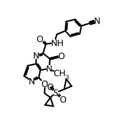 Cn1c(=O)c(C(=O)NCc2ccc(C#N)cc2)nc2ccnc(OCC3(S(=O)(=O)C4CC4)CC3)c21